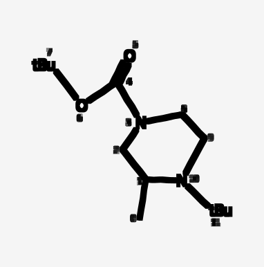 CC1CN(C(=O)OC(C)(C)C)CCN1C(C)(C)C